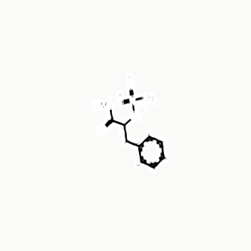 COC(=O)C(Cc1ccccc1)OS(C)(=O)=O